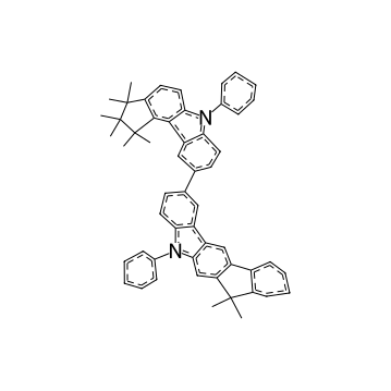 CC1(C)c2ccccc2-c2cc3c4cc(-c5ccc6c(c5)c5c7c(ccc5n6-c5ccccc5)C(C)(C)C(C)(C)C7(C)C)ccc4n(-c4ccccc4)c3cc21